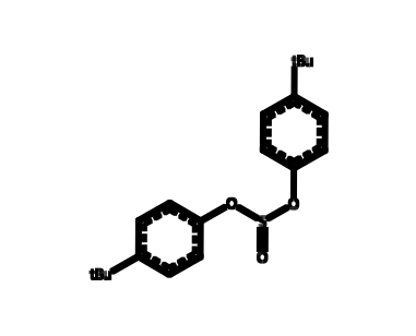 CC(C)(C)c1ccc(OS(=O)Oc2ccc(C(C)(C)C)cc2)cc1